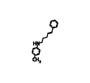 Cc1ccc(NCCCC=Cc2ccccc2)cc1